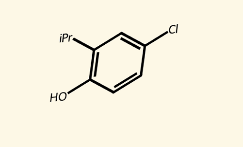 CC(C)c1cc(Cl)ccc1O